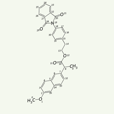 COc1ccc2cc(C(C)C(=O)OCCc3ccc(N4C(=O)c5ccccc5C4=O)cc3)ccc2c1